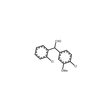 COc1cc(C(C=O)c2ccccc2Cl)ccc1Cl